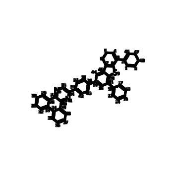 C1=CC(C2=CCCc3c2sc2c(-c4ccccc4)cc(-c4ccc(-c5cnc6c7ccccc7c7ccccc7c6n5)cc4)cc32)=CCC1